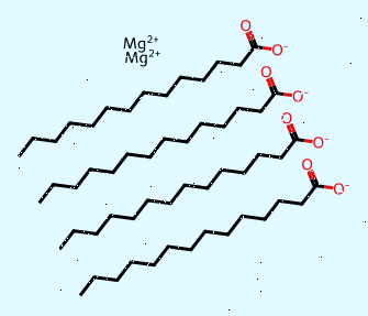 CCCCCCCCCCCCCC(=O)[O-].CCCCCCCCCCCCCC(=O)[O-].CCCCCCCCCCCCCC(=O)[O-].CCCCCCCCCCCCCC(=O)[O-].[Mg+2].[Mg+2]